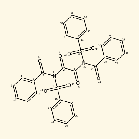 O=C(C(=O)N(C(=O)c1ccccc1)S(=O)(=O)c1ccccc1)N(C(=O)c1ccccc1)S(=O)(=O)c1ccccc1